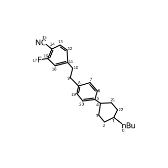 CCCCC1CCC(c2ccc(CCc3ccc(C#N)c(F)c3)cc2)CC1